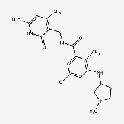 Cc1cc(C)c(CNC(=O)c2cc(Cl)cc(NC3CCN(C)C3)c2C)c(=O)[nH]1